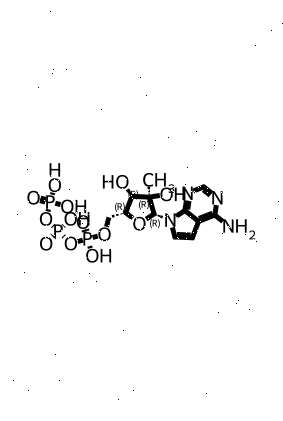 C[C@@]1(O)[C@H](O)[C@@H](COP(=O)(O)OP(=O)(O)OP(=O)(O)O)O[C@H]1n1ccc2c(N)ncnc21